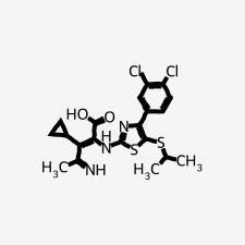 CC(=N)/C(=C(\Nc1nc(-c2ccc(Cl)c(Cl)c2)c(SC(C)C)s1)C(=O)O)C1CC1